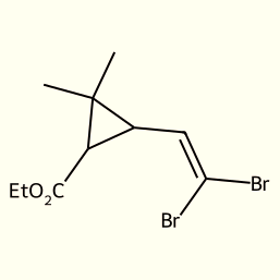 CCOC(=O)C1C(C=C(Br)Br)C1(C)C